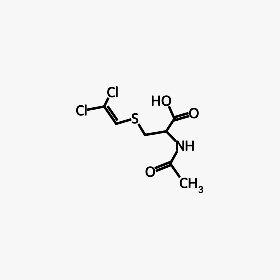 CC(=O)NC(CSC=C(Cl)Cl)C(=O)O